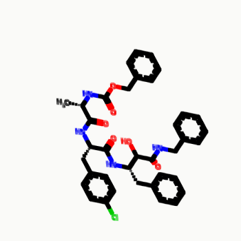 C[C@H](NC(=O)OCc1ccccc1)C(=O)N[C@@H](Cc1ccc(Cl)cc1)C(=O)N[C@@H](Cc1ccccc1)C(O)C(=O)NCc1ccccc1